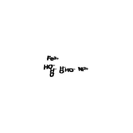 [Fe+2].[Ni+2].[OH-].[OH-].[OH-].[OH-]